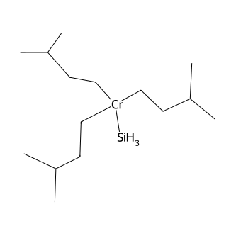 CC(C)C[CH2][Cr]([SiH3])([CH2]CC(C)C)[CH2]CC(C)C